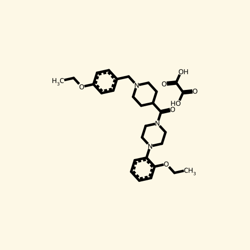 CCOc1ccc(CN2CCC(C(=O)N3CCN(c4ccccc4OCC)CC3)CC2)cc1.O=C(O)C(=O)O